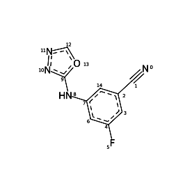 N#Cc1cc(F)cc(Nc2nnco2)c1